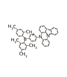 Cc1ccc(B(c2ccc(N3c4ccccc4-n4c5ccccc5c5cccc3c54)cc2)c2c(C)cc(C)cc2C)c(C)c1